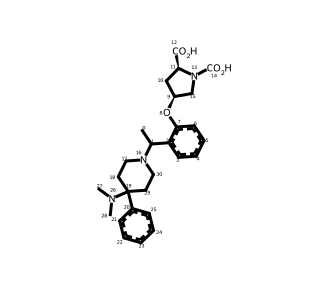 CC(c1ccccc1O[C@H]1C[C@@H](C(=O)O)N(C(=O)O)C1)N1CCC(c2ccccc2)(N(C)C)CC1